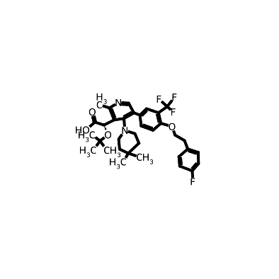 Cc1ncc(-c2ccc(OCCc3ccc(F)cc3)c(C(F)(F)F)c2)c(N2CCC(C)(C)CC2)c1[C@H](OC(C)(C)C)C(=O)O